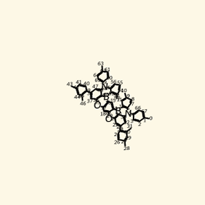 Cc1ccc(N2c3ccc(C)cc3B3c4cc5c(cc4Oc4cc(-c6ccc(C)cc6C)cc2c43)Oc2cc(-c3ccc(C)cc3C)cc3c2B5c2c(C)cccc2N3c2ccc(C)cc2)cc1